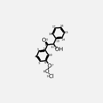 O=C(c1cccc(OOCl)c1)C(O)c1ccccc1